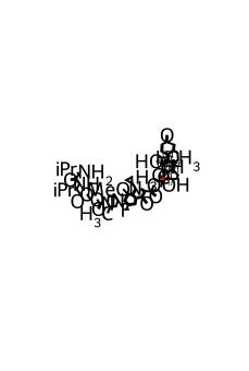 COc1c(N2CCN(C(=O)OCOC(=O)C(NC(=O)C(N)C(C)C)C(C)C)C(C)C2)c(F)cc2c(=O)c(C(=O)OCC(=O)[C@]3(O)CC[C@@H]4[C@H]5CCC6=CC(=O)C=C[C@@]6(C)[C@@H]5[C@H](O)C[C@]43C)cn(C3CC3)c12